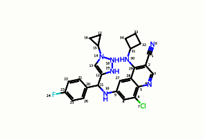 N#Cc1cnc2c(Cl)cc(NC(C3=CN(C4CC4)NN3)c3ccc(F)cc3)cc2c1NC1CCC1